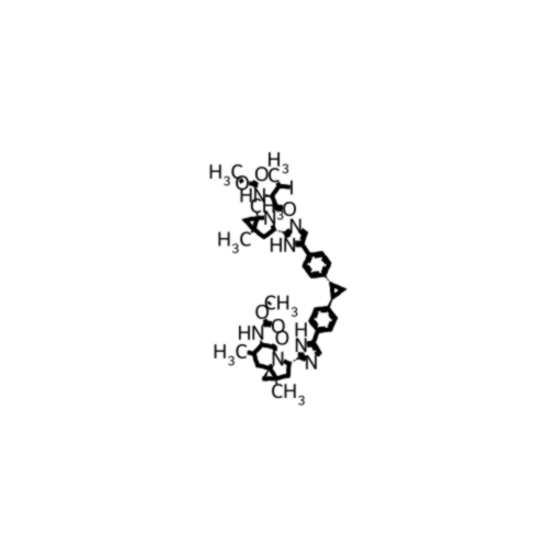 COC(=O)N[C@H](C(=O)N1[C@H](c2ncc(-c3ccc([C@@H]4C[C@H]4c4ccc(-c5cnc([C@@H]6C[C@@]7(C)C[C@]78CC(C)[C@H](NC(=O)OC)C(=O)N68)[nH]5)cc4)cc3)[nH]2)C[C@@]2(C)C[C@@]12C)C(C)I